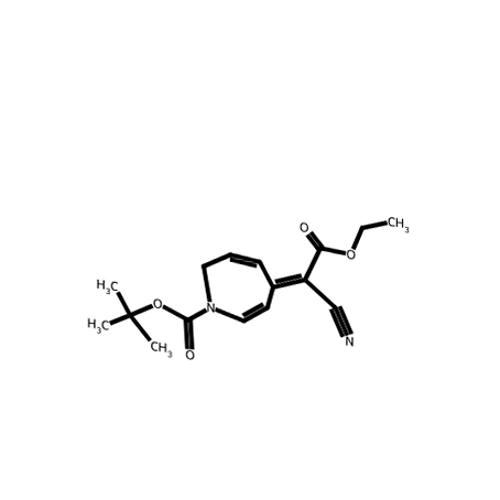 CCOC(=O)C(C#N)=C1C=CCN(C(=O)OC(C)(C)C)C=C1